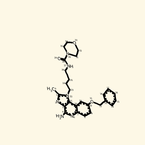 Cc1nc2c(N)nc3ccc(OCc4ccccc4)cc3c2n1CCCCNC(=O)N1CCOCC1